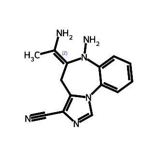 C/C(N)=C1\Cc2c(C#N)ncn2-c2ccccc2N1N